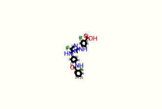 O=C(O)c1ccc(Nc2ncc(F)c(Nc3ccc(NC(=O)c4ccccc4F)cc3)n2)cc1F